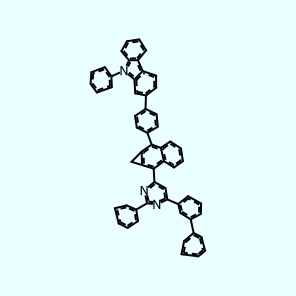 c1ccc(-c2cccc(-c3cc(-c4c5c(c(-c6ccc(-c7ccc8c9ccccc9n(-c9ccccc9)c8c7)cc6)c6ccccc46)C5)nc(-c4ccccc4)n3)c2)cc1